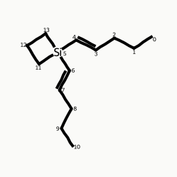 CCC/C=C/[Si]1(/C=C/CCC)CCC1